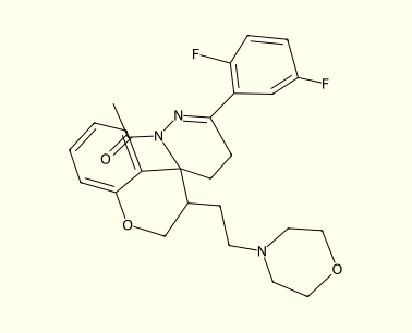 CC(=O)N1N=C(c2cc(F)ccc2F)CCC12c1ccccc1OCC2CCN1CCOCC1